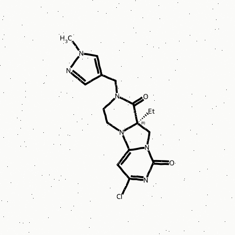 CC[C@]12Cn3c(cc(Cl)nc3=O)N1CCN(Cc1cnn(C)c1)C2=O